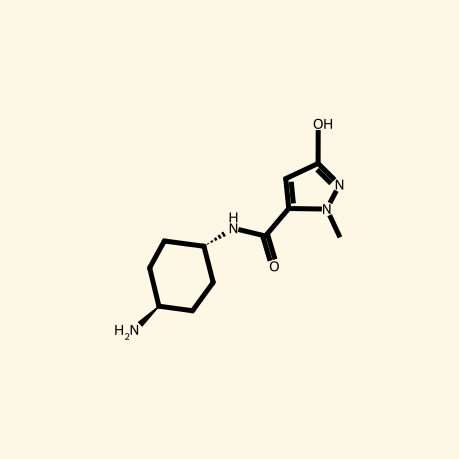 Cn1nc(O)cc1C(=O)N[C@H]1CC[C@H](N)CC1